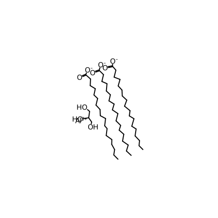 CCCCCCCCCCCCCCCCCC(=O)[O-].CCCCCCCCCCCCCCCCCC(=O)[O-].CCCCCCCCCCCCCCCCCC(=O)[O-].OCC(O)CO.[Al+3]